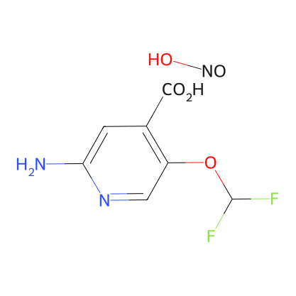 Nc1cc(C(=O)O)c(OC(F)F)cn1.O=NO